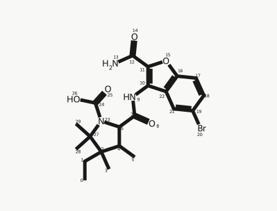 CCC1(C)C(C)C(C(=O)Nc2c(C(N)=O)oc3ccc(Br)cc23)N(C(=O)O)C1(C)C